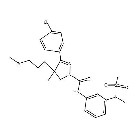 CSCCCC1(C)CN(C(=O)Nc2cccc(N(C)S(C)(=O)=O)c2)N=C1c1ccc(Cl)cc1